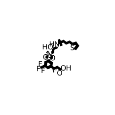 C[C@H](CC(=O)O)c1cc(C(F)(F)F)cc(S(=O)(=O)N(C)CC(O)CNC(C)(C)CCCc2cccs2)c1